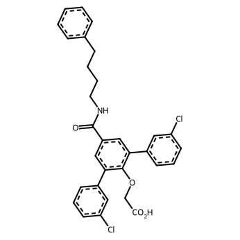 O=C(O)COc1c(-c2cccc(Cl)c2)cc(C(=O)NCCCCc2ccccc2)cc1-c1cccc(Cl)c1